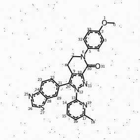 COc1ccc(N2CCc3c(nn(-c4cccc(C)n4)c3-c3ccc4ncsc4c3)C2=O)cc1